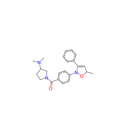 CC1C=C(c2ccccc2)N(c2ccc(C(=O)N3CCC(N(C)C)C3)cc2)O1